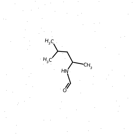 CC(C)CC(C)NC=O